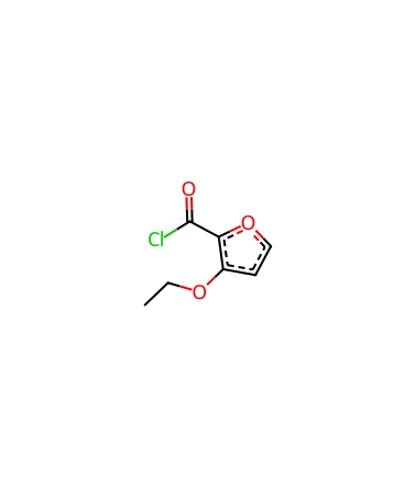 CCOc1ccoc1C(=O)Cl